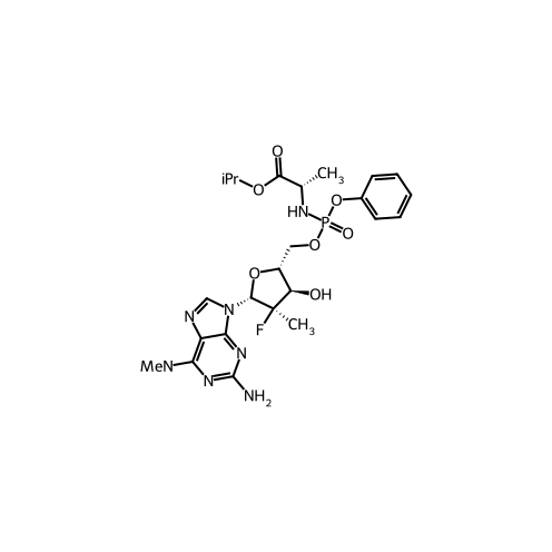 CNc1nc(N)nc2c1ncn2[C@@H]1O[C@H](COP(=O)(N[C@@H](C)C(=O)OC(C)C)Oc2ccccc2)[C@@H](O)[C@@]1(C)F